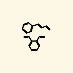 C=CC=Cc1ccccc1.C=Cc1ccccc1C=C